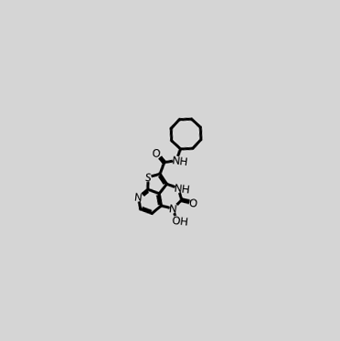 O=C(NC1CCCCCCC1)c1sc2nccc3c2c1NC(=O)N3O